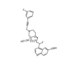 COc1ccc2nccc(C(F)CC[C@@H]3CCN(CC#Cc4cccc(F)c4)C[C@@H]3C(=O)O)c2c1.Cl.Cl